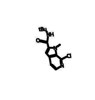 Cn1c(C(=O)NC(C)(C)C)cc2ccnc(Cl)c21